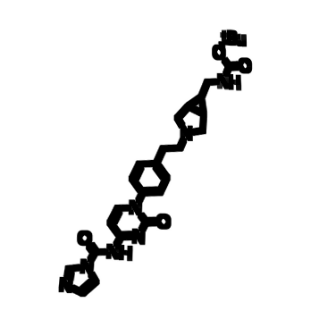 CC(C)(C)OC(=O)NCC1C2CN(CCc3ccc(-n4ccc(NC(=O)n5ccnc5)nc4=O)cc3)CC12